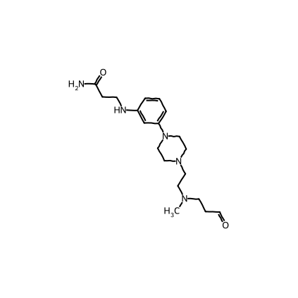 CN(CCC=O)CCN1CCN(c2cccc(NCCC(N)=O)c2)CC1